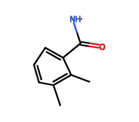 Cc1cccc(C([NH])=O)c1C